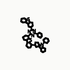 c1ccc(-c2nc(-c3ccc4sc5ccccc5c4c3)nc(-c3cccc4c3sc3c(-c5ccc6c(c5)c5ccccc5n6-c5ccccc5)cccc34)n2)cc1